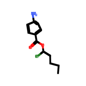 CCCCC(Cl)OC(=O)c1ccc(N)cc1